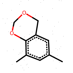 Cc1cc(C)c2c(c1)COCO2